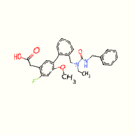 CCN(Cc1ccccc1-c1cc(CC(=O)O)c(F)cc1OC)C(=O)NCc1ccccc1